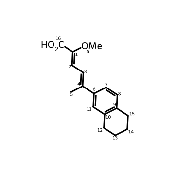 CO/C(=C\C=C(/C)c1ccc2c(c1)CCCC2)C(=O)O